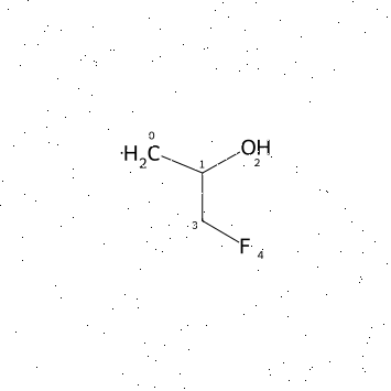 [CH2]C(O)CF